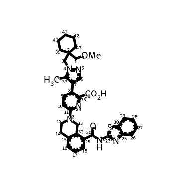 COCC1(Cn2ncc(-c3ccc(N4CCc5cccc(C(=O)Nc6nc7ccccc7s6)c5C4)nc3C(=O)O)c2C)CCCCC1